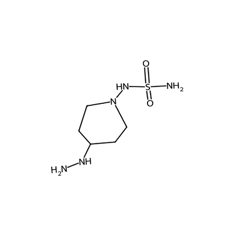 NNC1CCN(NS(N)(=O)=O)CC1